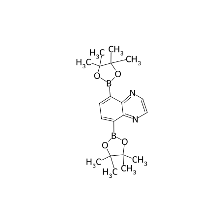 CC1(C)OB(c2ccc(B3OC(C)(C)C(C)(C)O3)c3nccnc23)OC1(C)C